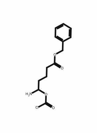 NC(CCCC(=O)OCc1ccccc1)OC(=O)Cl